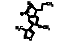 CCCC(C#N)c1cc(OC)c(-c2conc2C)cc1[N+](=O)[O-]